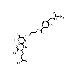 CC(=O)[C@H](CCC(=O)O)NC(=O)O[C@@H](CCCCNC(=O)c1ccc(CNC(=N)N)c([131I])c1)C(=O)O